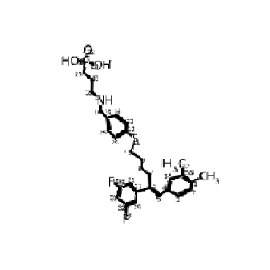 Cc1ccc(/C=C(\CCCCSc2ccc(CNCCCP(=O)(O)O)cc2)c2cc(F)cc(F)c2)cc1C